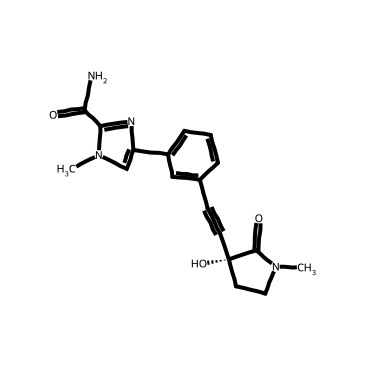 CN1CC[C@@](O)(C#Cc2cccc(-c3cn(C)c(C(N)=O)n3)c2)C1=O